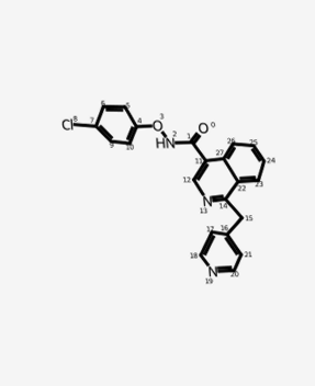 O=C(NOc1ccc(Cl)cc1)c1cnc(Cc2ccncc2)c2ccccc12